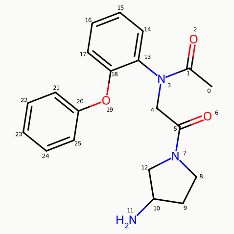 CC(=O)N(CC(=O)N1CCC(N)C1)c1ccccc1Oc1ccccc1